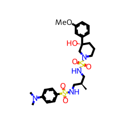 COc1cccc([C@@]2(O)CCCN(S(=O)(=O)NC[C@@H](C)CNS(=O)(=O)c3ccc(N(C)C)cc3)C2)c1